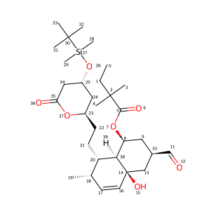 CCC(C)(C)C(=O)O[C@H]1C[C@@H](C=O)C[C@]2(O)C=C[C@H](C)[C@H](CC[C@@H]3C[C@@H](O[Si](C)(C)C(C)(C)C)CC(=O)O3)[C@@H]12